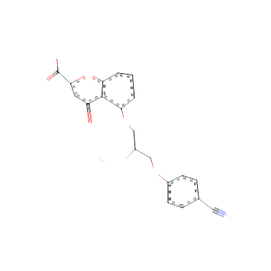 N#Cc1ccc(OCC(O)COc2cccc3oc(C(=O)[O-])cc(=O)c23)cc1.[Na+]